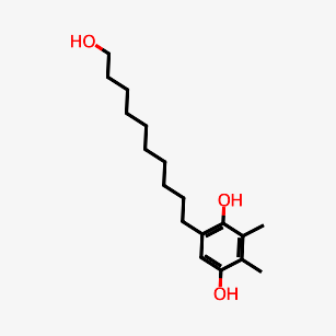 Cc1c(O)cc(CCCCCCCCCCO)c(O)c1C